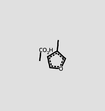 CC(=O)O.Cc1ccoc1